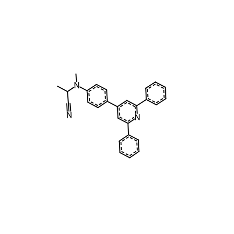 CC(C#N)N(C)c1ccc(-c2cc(-c3ccccc3)nc(-c3ccccc3)c2)cc1